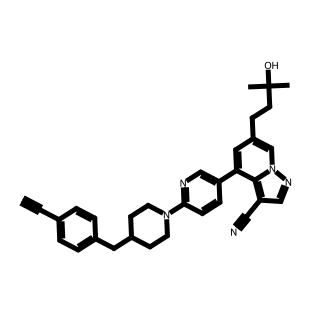 C#Cc1ccc(CC2CCN(c3ccc(-c4cc(CCC(C)(C)O)cn5ncc(C#N)c45)cn3)CC2)cc1